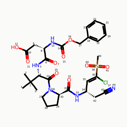 CC(C)(C)[C@H](NC(=O)[C@H](CC(=O)O)NC(=O)OCc1ccccc1)C(=O)N1CCC[C@@H]1C(=O)N[C@H](/C=C(\Cl)S(C)(=O)=O)CC#N